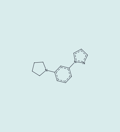 c1cc(N2CCCC2)cc(-n2cccn2)c1